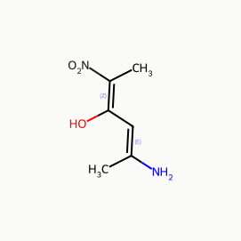 C/C(=C(O)\C=C(/C)N)[N+](=O)[O-]